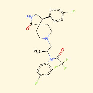 C[C@@H](CN1CCC2(CC1)C(=O)NC[C@H]2c1ccc(F)cc1)N(C(=O)C(F)(F)F)c1ccc(F)cc1